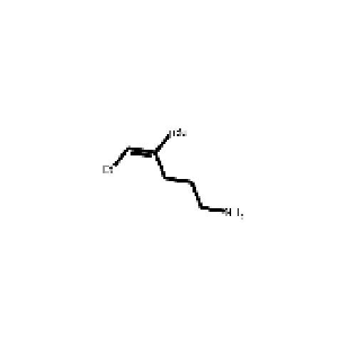 CCC=C(CCCC)CCCN